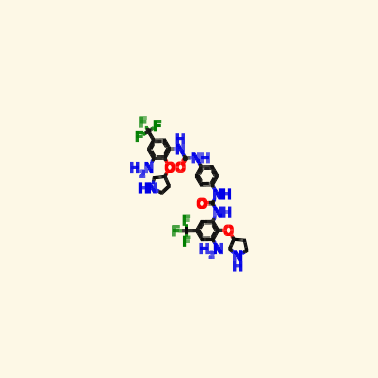 Nc1cc(C(F)(F)F)cc(NC(=O)Nc2ccc(NC(=O)Nc3cc(C(F)(F)F)cc(N)c3OC3CCNC3)cc2)c1OC1CCNC1